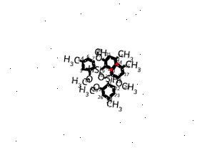 COc1cc(C)ccc1[SiH](O[SiH](c1ccc(C)cc1OC)c1ccc(C)cc1OC)c1ccc(C)cc1OC